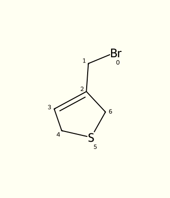 BrCC1=CCSC1